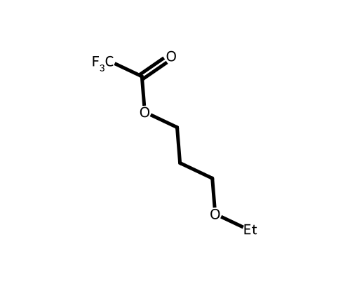 CCOCCCOC(=O)C(F)(F)F